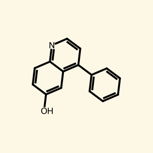 Oc1ccc2nccc(-c3ccccc3)c2c1